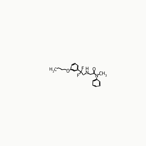 CCCCOc1cccc(C(F)(F)CNCC(=O)N(C)c2ccccc2)c1